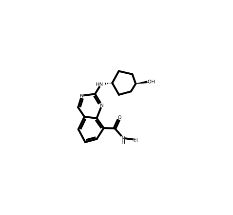 CCNC(=O)c1cccc2cnc(N[C@H]3CC[C@H](O)CC3)nc12